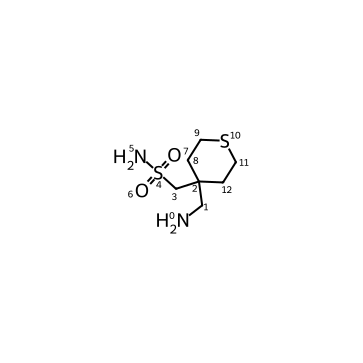 NCC1(CS(N)(=O)=O)CCSCC1